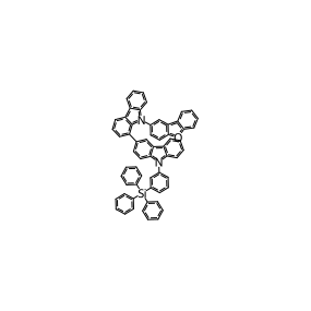 c1ccc([Si](c2ccccc2)(c2ccccc2)c2cccc(-n3c4ccccc4c4cc(-c5cccc6c7ccccc7n(-c7ccc8oc9ccccc9c8c7)c56)ccc43)c2)cc1